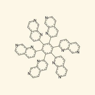 c1cc2ccc(-c3c(-c4ccc5ccncc5n4)c(-c4ccc5ccncc5n4)c(-c4ccc5ccncc5n4)c(-c4ccc5ccncc5n4)c3-c3ccc4ccncc4n3)nc2cn1